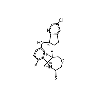 C[C@]1(c2cc(N[C@@H]3CCc4cc(Cl)cnc43)ccc2F)NC(=S)COCC1(F)F